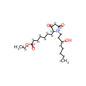 CCCCCC(O)CCN1C(=O)CC(=O)C1CCCCCCC(=O)OCC